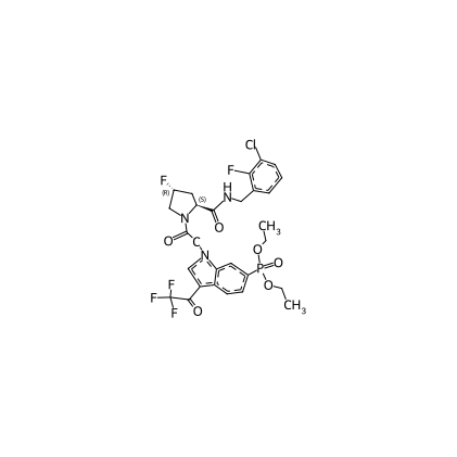 CCOP(=O)(OCC)c1ccc2c(C(=O)C(F)(F)F)cn(CC(=O)N3C[C@H](F)C[C@H]3C(=O)NCc3cccc(Cl)c3F)c2c1